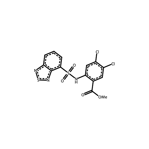 COC(=O)c1cc(Cl)c(Cl)cc1NS(=O)(=O)c1cccc2nsnc12